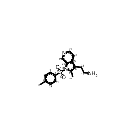 Cc1ccc(S(=O)(=O)n2c(C)c(CCN)c3ccncc32)cc1